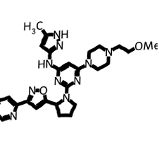 COCCN1CCN(c2cc(Nc3cc(C)[nH]n3)nc(N3CCCC3c3cc(-c4ccccn4)no3)n2)CC1